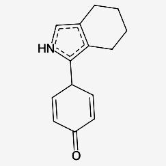 O=C1C=CC(c2[nH]cc3c2CCCC3)C=C1